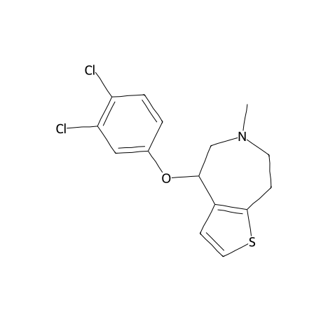 CN1CCc2sccc2C(Oc2ccc(Cl)c(Cl)c2)C1